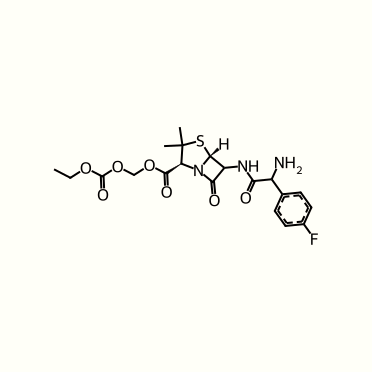 CCOC(=O)OCOC(=O)[C@@H]1N2C(=O)C(NC(=O)C(N)c3ccc(F)cc3)[C@H]2SC1(C)C